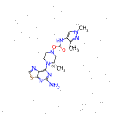 Cc1nn(C)cc1NC(=O)ON1CCN(c2nc(N)nc3scnc23)[C@@H](C)C1